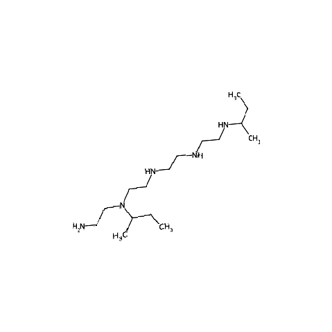 CCC(C)NCCNCCNCCN(CCN)C(C)CC